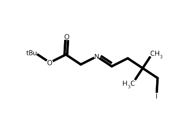 CC(C)(CI)C/C=N/CC(=O)OC(C)(C)C